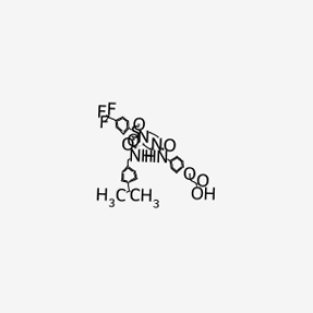 CC(C)c1ccc(CNC(=O)[C@H]2CN(C(=O)Nc3ccc(OCC(=O)O)cc3)CCN2S(=O)(=O)c2ccc(C(F)(F)F)cc2)cc1